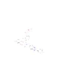 CCOP(=O)(Cc1cccc(COc2ccccc2OC2CCN(Cc3ccc4nc(-c5ccccc5)[nH]c4c3)CC2)c1)OCC